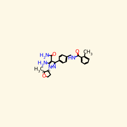 Cc1ccccc1C(=O)NCc1ccc(-c2nn([C@@H]3CCO[C@H]3C)c(N)c2C(N)=O)cc1